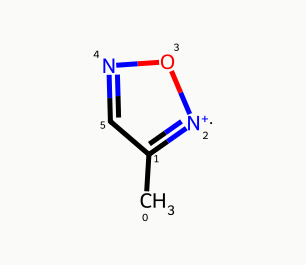 CC1=[N+]ON=C1